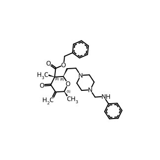 C=C1C(=O)[C@](C)(C(=O)OCc2ccccc2)[C@@H](CCN2CCN(CNc3ccccc3)CC2)O[C@H]1C